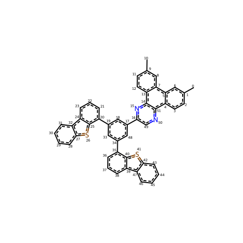 Cc1ccc2c(c1)c1cc(C)ccc1c1nc(-c3cc(-c4cccc5c4sc4ccccc45)cc(-c4cccc5c4sc4ccccc45)c3)cnc21